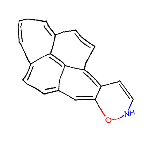 c1cc2ccc3cc4o[nH]ccc4c4ccc(c1)c2c34